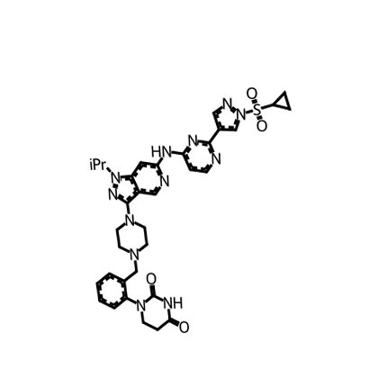 CC(C)n1nc(N2CCN(Cc3ccccc3N3CCC(=O)NC3=O)CC2)c2cnc(Nc3ccnc(-c4cnn(S(=O)(=O)C5CC5)c4)n3)cc21